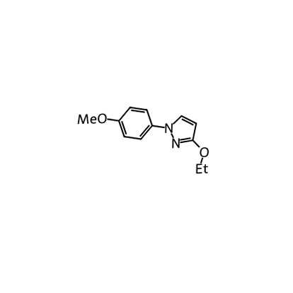 CCOc1ccn(-c2ccc(OC)cc2)n1